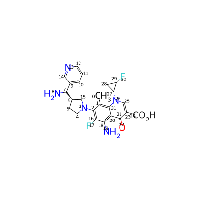 Cc1c(N2CC[C@@H](C(N)c3cccnc3)C2)c(F)c(N)c2c(=O)c(C(=O)O)cn([C@@H]3C[C@@H]3F)c12